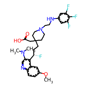 COc1ccc2ncc(N(C)C)c([C@@H](F)CCC3(CC(=O)O)CCN(CCNc4cc(F)c(F)c(F)c4)CC3)c2c1